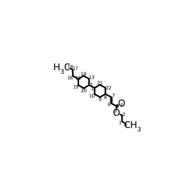 CCCOC(=O)/C=C/C1CCC(C2CCC(CCC)CC2)CC1